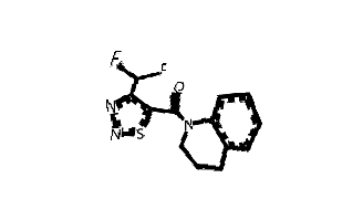 O=C(c1snnc1C(F)F)N1CCCc2ccccc21